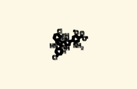 COC(=O)c1cc(N)c(C2C[C@@H]3N[C@@]4(C(=O)Nc5cc(Cl)ccc54)[C@@H](c4cccc(Cl)c4F)[C@@H]3N2)cc1OC